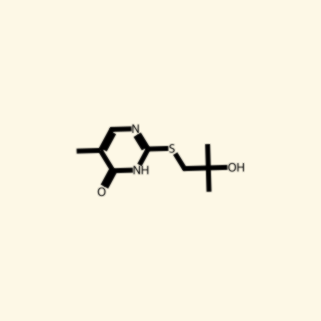 Cc1cnc(SCC(C)(C)O)[nH]c1=O